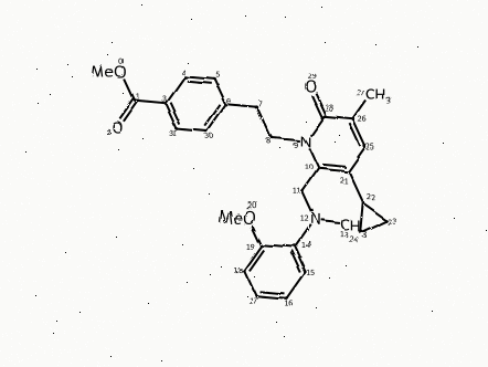 COC(=O)c1ccc(CCn2c(CN(C)c3ccccc3OC)c(C3CC3)cc(C)c2=O)cc1